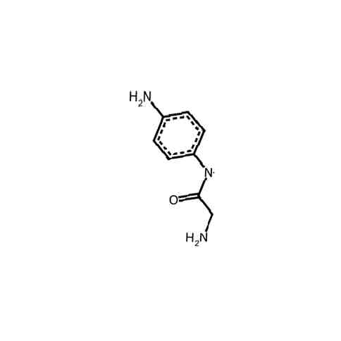 NCC(=O)[N]c1ccc(N)cc1